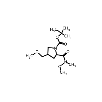 COCC1CC(C(=O)N(C)OC)N(C(=O)OC(C)(C)C)C1